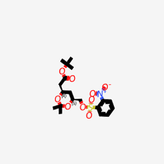 CC(C)(C)OC(=O)C[C@H]1C[C@@H](COS(=O)(=O)c2ccccc2[N+](=O)[O-])OC(C)(C)O1